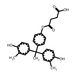 Cc1cc(C(C)(c2ccc(OC(=O)CCC(=O)O)cc2)c2ccc(O)c(C)c2)ccc1O